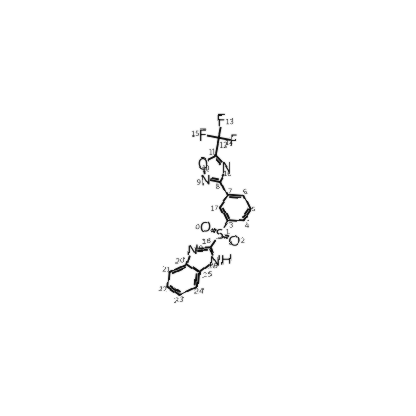 O=S(=O)(c1[c]ccc(-c2noc(C(F)(F)F)n2)c1)c1nc2ccccc2[nH]1